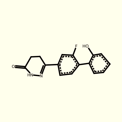 O=C1CCC(c2ccc(-c3ccccc3O)c(F)c2)=NN1